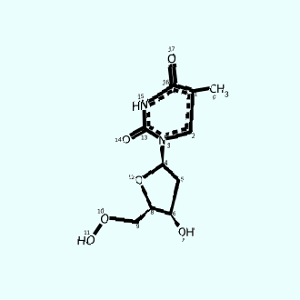 Cc1cn([C@H]2C[C@@H](O)[C@@H](COO)O2)c(=O)[nH]c1=O